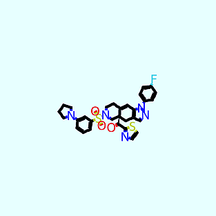 O=C(c1nccs1)[C@]12Cc3cnn(-c4ccc(F)cc4)c3C=C1CCN(S(=O)(=O)c1cccc(N3CCCC3)c1)C2